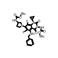 CC(C)(C)OC(=O)NC1CCN(c2c(F)c(NCc3ccccc3)c3c(=O)n(NC(=O)OC(C)(C)C)c(=O)n(C4CC4)c3c2F)C1